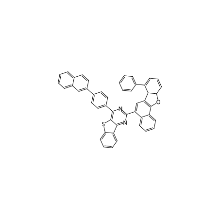 C1=CC2Oc3c(cc(-c4nc(-c5ccc(-c6ccc7ccccc7c6)cc5)c5sc6ccccc6c5n4)c4ccccc34)C2C(c2ccccc2)=C1